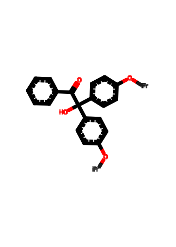 CC(C)Oc1ccc(C(O)(C(=O)c2ccccc2)c2ccc(OC(C)C)cc2)cc1